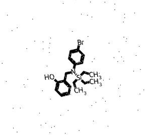 CC[Si](CC)(CC)N(Cc1ccccc1O)c1ccc(Br)cc1